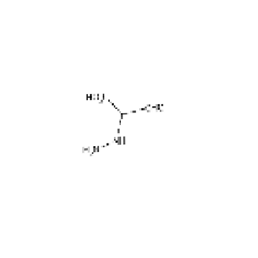 NNC(C=O)C(=O)O